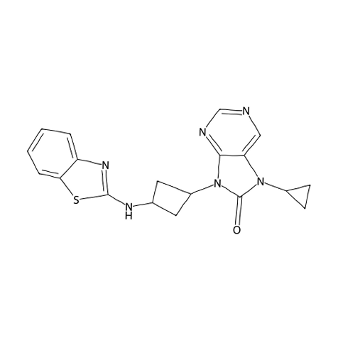 O=c1n(C2CC2)c2cncnc2n1C1CC(Nc2nc3ccccc3s2)C1